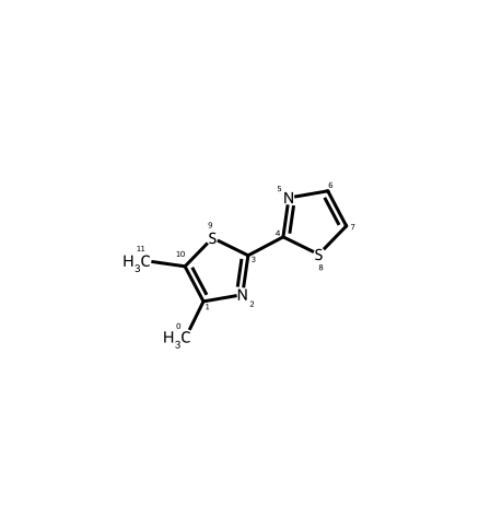 Cc1nc(-c2nccs2)sc1C